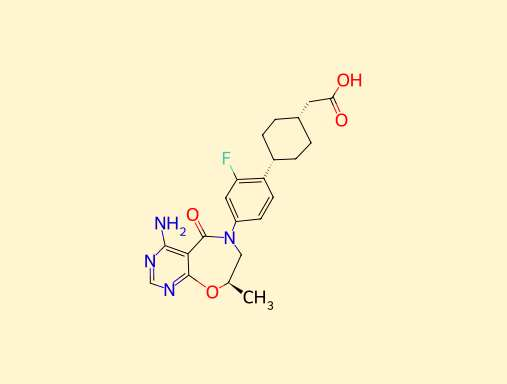 C[C@@H]1CN(c2ccc([C@H]3CC[C@@H](CC(=O)O)CC3)c(F)c2)C(=O)c2c(N)ncnc2O1